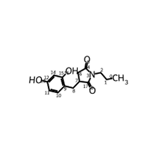 CCCN1C(=O)CC(Cc2ccc(O)cc2O)C1=O